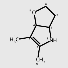 CC1=C(C)C2OCCC2N1